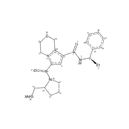 CC[C@@H](NC(=O)c1cc(C(=O)N2CCCC2COC)n2c1COCC2)c1ccccc1